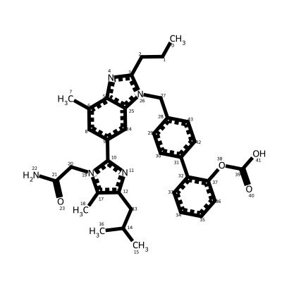 CCCc1nc2c(C)cc(-c3nc(CC(C)C)c(C)n3CC(N)=O)cc2n1Cc1ccc(-c2ccccc2OC(=O)O)cc1